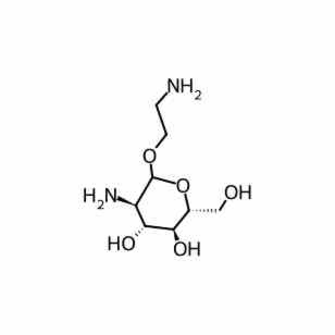 NCCOC1O[C@H](CO)[C@@H](O)[C@H](O)[C@H]1N